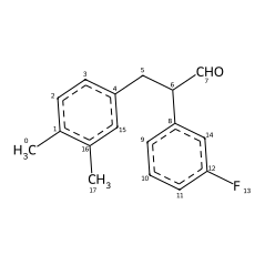 Cc1ccc(CC(C=O)c2cccc(F)c2)cc1C